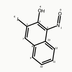 O=Nc1c(O)c(I)cc2ccccc12